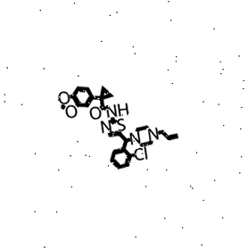 C=CCN1CCN(C(c2cnc(NC(=O)C3(c4ccc5c(c4)OCO5)CC3)s2)c2ccccc2Cl)CC1